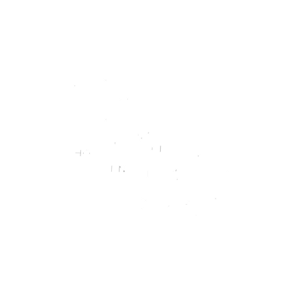 OP(=S)(NP(O)(=S)C12CCC(CC1)C2)C12CCC(CC1)C2